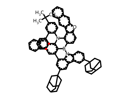 CC(C)(C)c1ccc(N2c3c4c(cc5c3sc3ccccc35)-c3cc(C56CC7CC(CC(C7)C5)C6)cc5c6cc(C78CC9CC(CC(C9)C7)C8)ccc6n(c35)B4c3ccc4oc5cc6ccccc6cc5c4c32)c(-c2ccccc2)c1